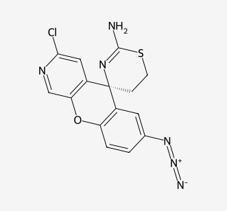 [N-]=[N+]=Nc1ccc2c(c1)[C@@]1(CCSC(N)=N1)c1cc(Cl)ncc1O2